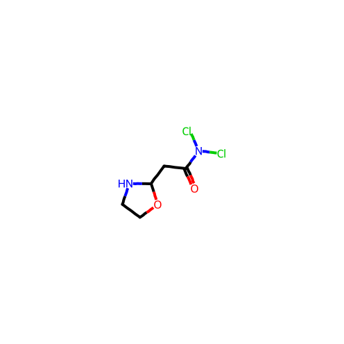 O=C(CC1NCCO1)N(Cl)Cl